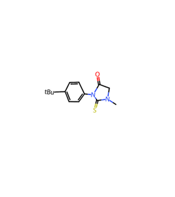 CN1CC(=O)N(c2ccc(C(C)(C)C)cc2)C1=S